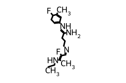 CCCN/C(C)=C(F)/C=N\CCC/C(N)=C/NC1=CCC(F)C(C)=C1